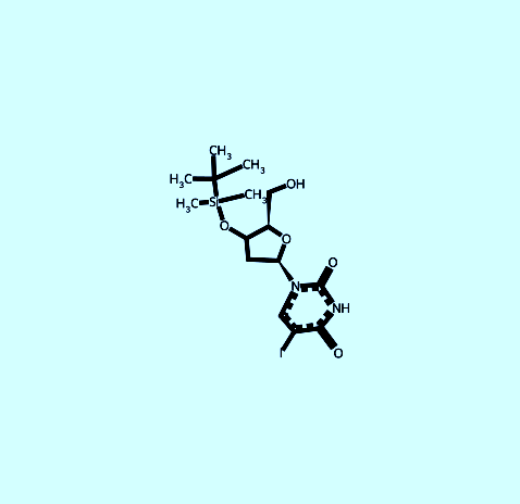 CC(C)(C)[Si](C)(C)OC1C[C@H](n2cc(I)c(=O)[nH]c2=O)O[C@@H]1CO